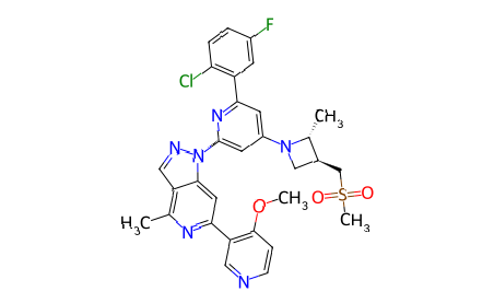 COc1ccncc1-c1cc2c(cnn2-c2cc(N3C[C@H](CS(C)(=O)=O)[C@H]3C)cc(-c3cc(F)ccc3Cl)n2)c(C)n1